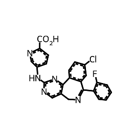 O=C(O)c1ccc(Nc2ncc3c(n2)-c2ccc(Cl)cc2C(c2ccccc2F)=NC3)cn1